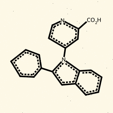 O=C(O)c1cc(-n2c(-c3ccccc3)cc3ccccc32)ccn1